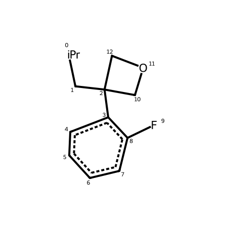 CC(C)CC1(c2ccccc2F)COC1